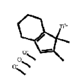 CC1=CC2=C(CCCC2)[C]1(C)[Ti+3].C[O-].C[O-].C[O-]